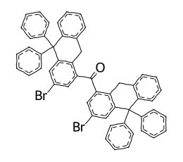 O=C(c1cc(Br)cc2c1Cc1ccccc1C2(c1ccccc1)c1ccccc1)c1cc(Br)cc2c1Cc1ccccc1C2(c1ccccc1)c1ccccc1